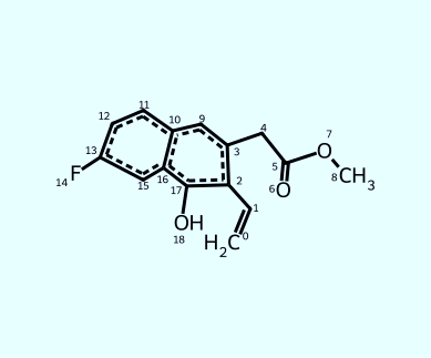 C=Cc1c(CC(=O)OC)cc2ccc(F)cc2c1O